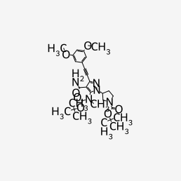 COc1cc(C#Cc2nn([C@H]3CCN(C(=O)OC(C)(C)C)C3)c(N(C)C(=O)OC(C)(C)C)c2C(N)=O)cc(OC)c1